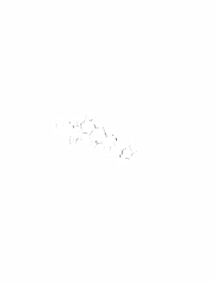 O=C1OC(c2cccs2)=NC1=Cc1ccc([N+](=O)[O-])c(Br)c1